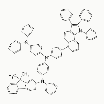 CC1(C)c2ccccc2-c2ccc(N(c3ccccc3)c3ccc(N(c4ccc(-c5cccc6c5ccc5c(-c7ccccc7)c(-c7ccccc7)n(-c7ccccc7)c56)cc4)c4ccc(N(c5ccccc5)c5ccccc5)cc4)cc3)cc21